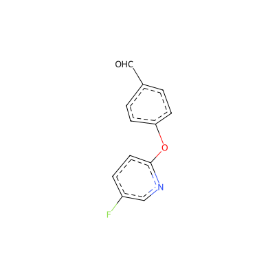 O=Cc1ccc(Oc2ccc(F)cn2)cc1